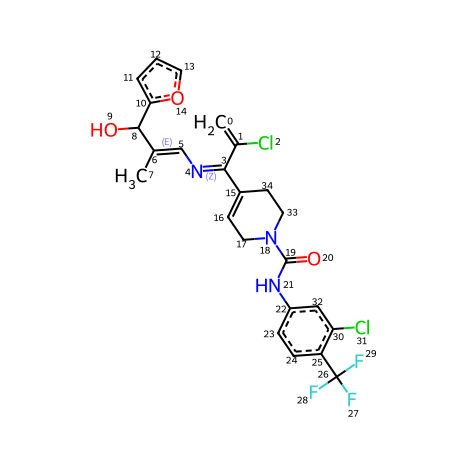 C=C(Cl)/C(=N\C=C(/C)C(O)c1ccco1)C1=CCN(C(=O)Nc2ccc(C(F)(F)F)c(Cl)c2)CC1